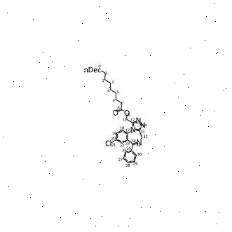 CCCCCCCCCCCCCCCCCC(=O)OCc1nnc2n1-c1ccc(Cl)cc1C(c1ccccc1)=NC2